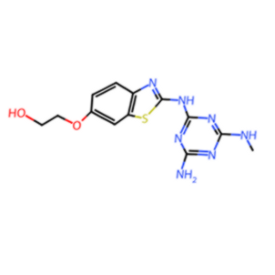 CNc1nc(N)nc(Nc2nc3ccc(OCCO)cc3s2)n1